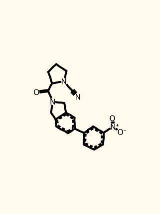 N#CN1CCCC1C(=O)N1Cc2ccc(-c3cccc([N+](=O)[O-])c3)cc2C1